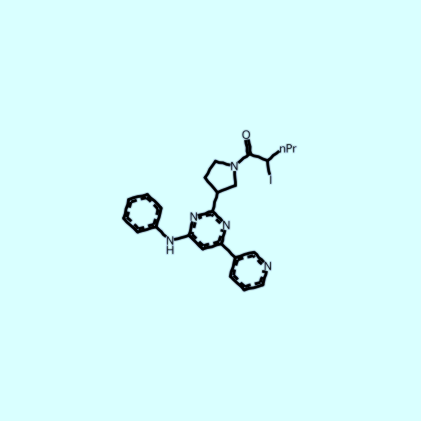 CCCC(I)C(=O)N1CCC(c2nc(Nc3ccccc3)cc(-c3cccnc3)n2)C1